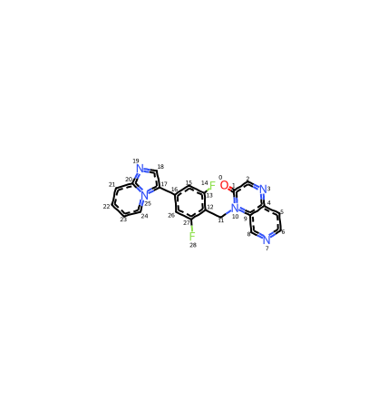 O=c1cnc2ccncc2n1Cc1c(F)cc(-c2cnc3ccccn23)cc1F